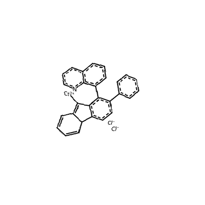 [Cl-].[Cl-].[Cr+2][C]1=C2C=CC=CC2c2ccc(-c3ccccc3)c(-c3cccc4cccnc34)c21